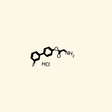 Cl.NCC(=O)Oc1ccc(-c2cccc(F)c2)cc1